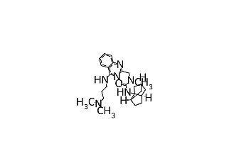 CN(C)CCCNc1nc(CN(C)C(=O)NC23C[C@H]4C[C@H]2CC[C@H]3C4)nc2ccccc12